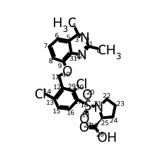 Cc1nc(C)c2cccc(OCc3c(Cl)ccc(S(=O)(=O)N4CCC[C@H]4C(=O)O)c3Cl)c2n1